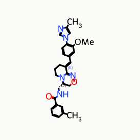 COc1cc(/C=C2\CCCN3C2=NOC[C@@H]3CNC(=O)c2cccc(C)c2)ccc1-n1cnc(C)c1